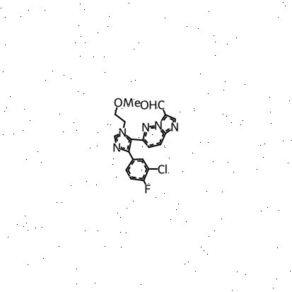 COCCn1cnc(-c2ccc(F)c(Cl)c2)c1-c1ccc2ncc(C=O)n2n1